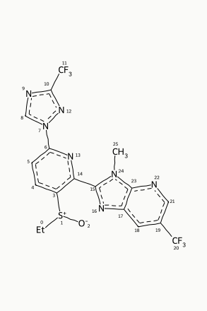 CC[S+]([O-])c1ccc(-n2cnc(C(F)(F)F)n2)nc1-c1nc2cc(C(F)(F)F)cnc2n1C